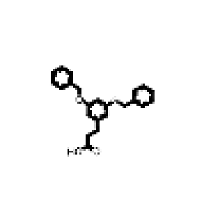 O=C(O)CCc1cc(OCc2ccccc2)cc(SCc2ccccc2)c1